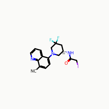 N#Cc1ccc(N2C[C@@H](NC(=O)CI)CC(F)(F)C2)c2cccnc12